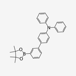 CC1(C)OB(c2cccc(-c3ccc(N(c4ccccc4)c4ccccc4)cc3)c2)OC1(C)C